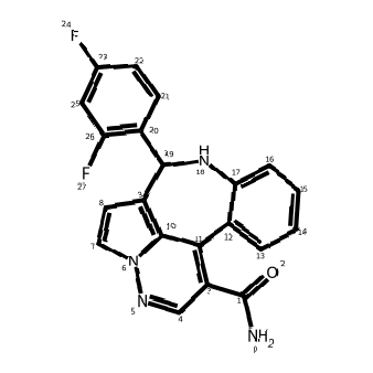 NC(=O)c1cnn2ccc3c2c1-c1ccccc1NC3c1ccc(F)cc1F